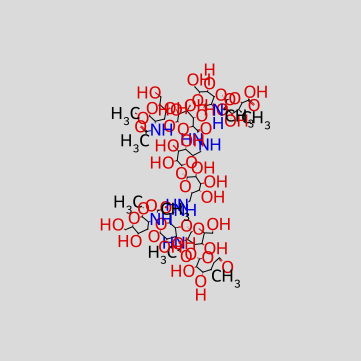 CO[C@@H]1OC(CO)[C@@H](O)[C@H](OC2OC(C(=O)NNCC3O[C@H](O[C@H]4OC(CNNC(=O)C5O[C@@H](O[C@@H]6C(NC(C)=O)[C@H](OC)OC(CO)[C@H]6O)C(O)[C@@H](O)[C@@H]5O[C@@H]5OC(CO)[C@@H](O)[C@H](O[C@@H]6OC(C(=O)O)[C@@H](C)[C@H](O)C6O)C5NC(C)=O)[C@@H](O)[C@H](O)C4O)C(O)[C@@H](O)[C@@H]3O)[C@@H](O[C@@H]3OC(CO)[C@@H](O)[C@H](O[C@@H]4OC(C=O)[C@@H](C)[C@H](O)C4O)C3NC(C)=O)[C@H](O)[C@@H]2O)C1NC(C)=O